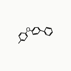 Cc1ccc(Oc2ccc(-c3ccccc3)cc2)cc1